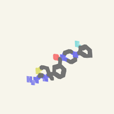 CC1(c2cccc(C(=O)N3CCN(c4ccccc4F)CC3)c2)CCSC(N)=N1